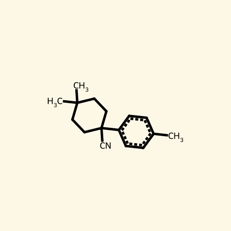 Cc1ccc(C2(C#N)CCC(C)(C)CC2)cc1